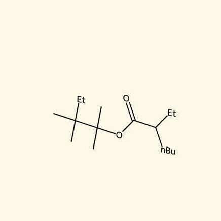 CCCCC(CC)C(=O)OC(C)(C)C(C)(C)CC